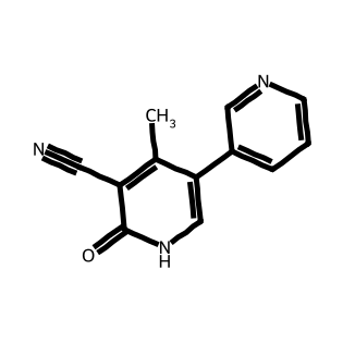 Cc1c(-c2cccnc2)c[nH]c(=O)c1C#N